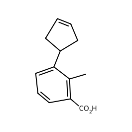 Cc1c(C(=O)O)cccc1C1CC=CC1